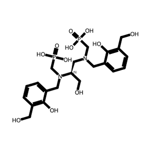 O=P(O)(O)CN(Cc1cccc(CO)c1O)C[C@@H](CO)N(Cc1cccc(CO)c1O)CP(=O)(O)O